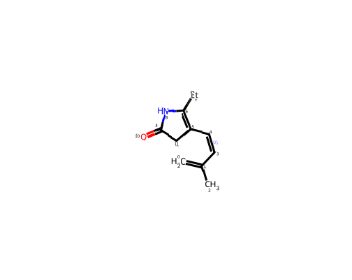 C=C(C)/C=C\C1=C(CC)NC(=O)C1